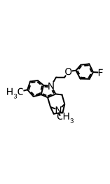 Cc1ccc2c(c1)c1c(n2CCOc2ccc(F)cc2)CC2CCC1N2C